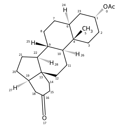 CC(=O)O[C@@H]1CC[C@@]2(C)[C@@H](CC[C@@H]3[C@@H]2CC[C@@]24CCC(=O)C[C@H]2CC[C@@H]34)C1